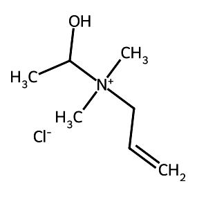 C=CC[N+](C)(C)C(C)O.[Cl-]